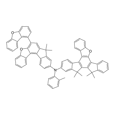 Cc1ccccc1N(c1ccc2c(c1)C(C)(C)c1cc(-c3cccc4oc5ccccc5c34)c3oc4ccccc4c3c1-2)c1ccc2c(c1)C(C)(C)c1c3c(c4oc5ccccc5c4c1-2)-c1ccccc1C3(C)C